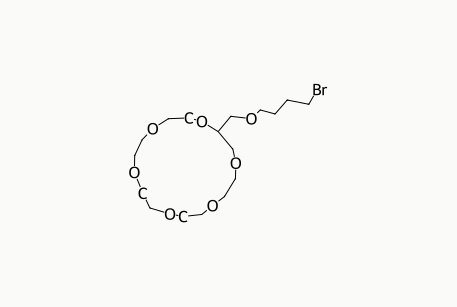 BrCCCCOCC1COCCOCCOCCOCCOCCO1